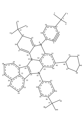 CC(C)(C)c1c#cc(N2C3=CC(C(C)(C)C)CC=C3B3C4=C(c5cccc6cccc4c56)N(c4ccc(C(C)(C)C)cc4)c4cc(C5CCCCC5)cc2c43)cc1